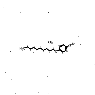 CCCCCCCCCCOc1ccc([N+]#N)cc1.[Cl-]